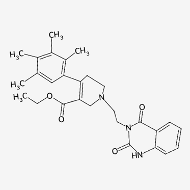 CCOC(=O)C1=C(c2cc(C)c(C)c(C)c2C)CCN(CCn2c(=O)[nH]c3ccccc3c2=O)C1